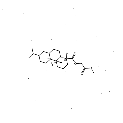 COC(=O)COC(=O)[C@]1(C)CCC[C@@]2(C)C1CCC1CC(C(C)C)CC[C@@H]12